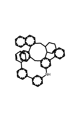 C1=CCC(c2cccc(-c3cccc(Nc4cc5c(c(-c6ccccc6)c4)C4C=CCCC4Cc4ccc6ccccc6c4-c4ccccc4C5)c3)c2)C=C1